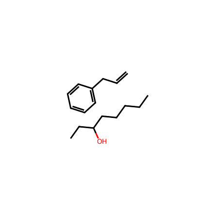 C=CCc1ccccc1.CCCCCC(O)CC